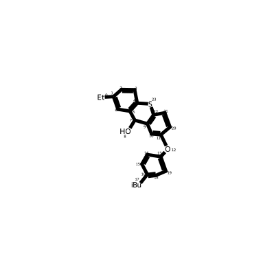 CCc1ccc2c(c1)C(O)c1cc(Oc3ccc(C(C)CC)cc3)ccc1S2